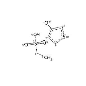 CCS(=O)(=O)O.[O]c1ccsc1